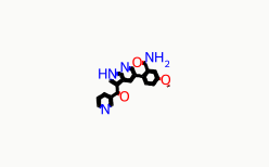 COc1ccc(-c2cnc3[nH]cc(C(=O)c4cccnc4)c3c2)c(C(N)=O)c1